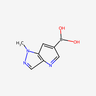 Cn1ncc2ncc(B(O)O)cc21